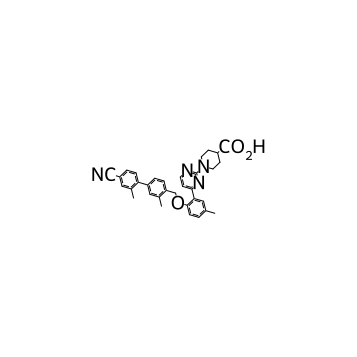 Cc1ccc(OCc2ccc(-c3ccc(C#N)cc3C)cc2C)c(-c2ccnc(N3CCC(C(=O)O)CC3)n2)c1